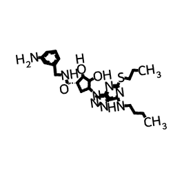 CCCCNc1nc(SCCC)nc2c1nnn2C1C[C@H](C(=O)NCc2cccc(N)c2)C(O)C1O